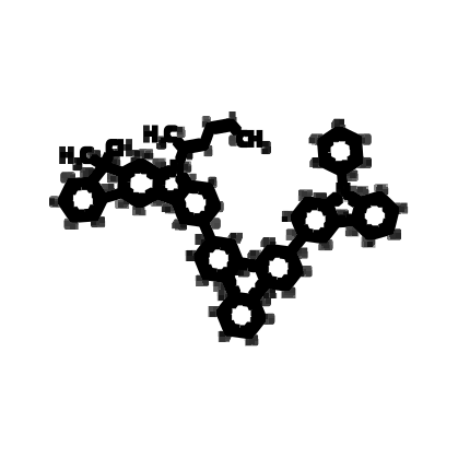 C/C=C\C=C(/C)n1c2ccc(-c3ccc4c5ccccc5c5ccc(-c6ccc7c(c6)c6ccccc6n7-c6ccccc6)cc5c4c3)cc2c2cc3c(cc21)C(C)(C)c1ccccc1-3